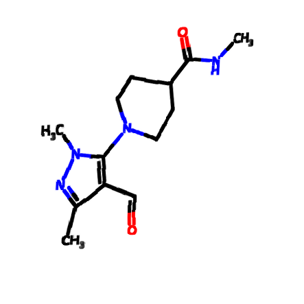 CNC(=O)C1CCN(c2c(C=O)c(C)nn2C)CC1